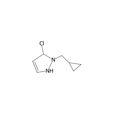 ClC1C=CNN1CC1CC1